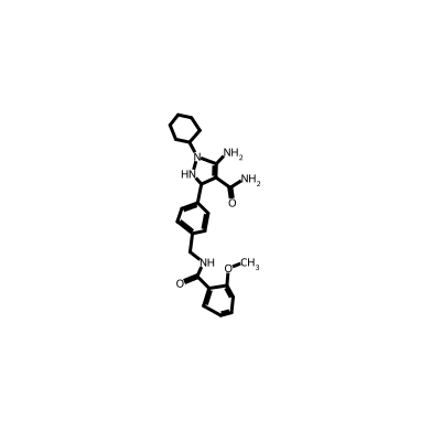 COc1ccccc1C(=O)NCc1ccc(C2NN(C3CCCCC3)C(N)=C2C(N)=O)cc1